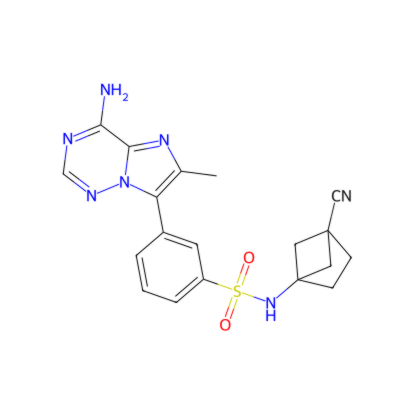 Cc1nc2c(N)ncnn2c1-c1cccc(S(=O)(=O)NC23CCC(C#N)(C2)C3)c1